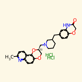 Cc1ccc2c3c(ccc2n1)OC[C@H](CN1CCCC(Cc2ccc4c(c2)NC(=O)CO4)C1)O3.Cl.Cl